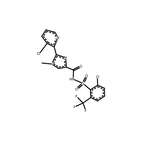 Cn1cc(C(=O)NS(=O)(=O)c2c(Cl)cccc2C(F)(F)F)nc1-c1ncccc1Cl